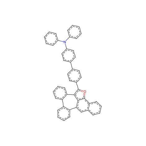 c1ccc(N(c2ccccc2)c2ccc(-c3ccc(-c4oc5c6c(cc7ccccc75)-c5ccccc5-c5ccccc5-c46)cc3)cc2)cc1